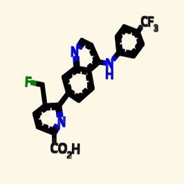 O=C(O)c1ccc(CF)c(-c2ccc3c(Nc4ccc(C(F)(F)F)cc4)ccnc3c2)n1